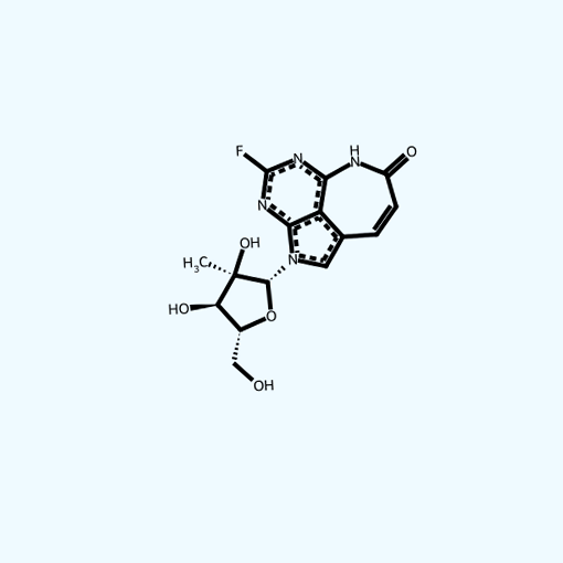 C[C@@]1(O)[C@H](O)[C@@H](CO)O[C@H]1n1cc2c3c(nc(F)nc31)NC(=O)C=C2